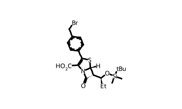 CC[C@H](O[Si](C)(C)C(C)(C)C)[C@@H]1C(=O)N2C(C(=O)O)=C(c3ccc(CBr)cc3)S[C@H]12